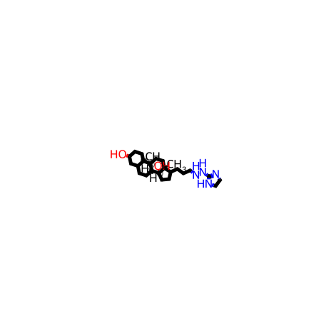 C[C@]12CCC(O)CC1CC[C@@H]1[C@H]2CC[C@]2(C)C(CCCNNC3=NCCN3)CC[C@@]12O